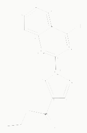 CCOC(=O)c1cnn(-c2nc(Cl)c3ccccc3n2)c1